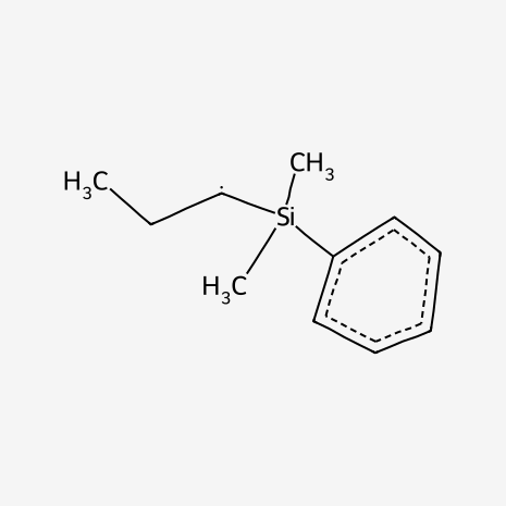 CC[CH][Si](C)(C)c1ccccc1